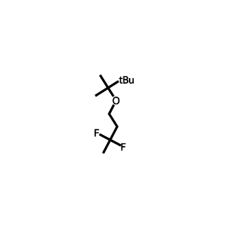 CC(F)(F)CCOC(C)(C)C(C)(C)C